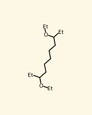 CCOC(CC)CCCCCC(CC)OCC